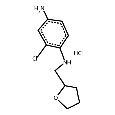 Cl.Nc1ccc(NCC2CCCO2)c(Cl)c1